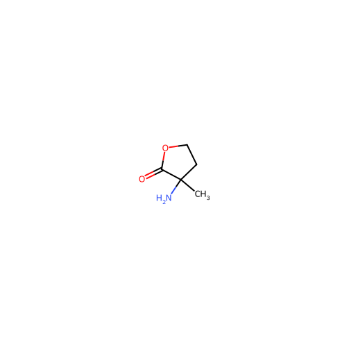 CC1(N)CCOC1=O